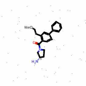 COCCc1cc(-c2ccccc2)ccc1C(=O)N1CC[C@H](N)C1